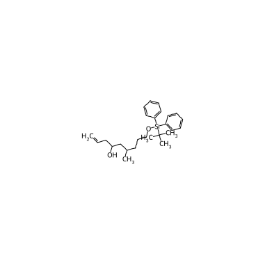 C=CCC(O)CC(C)CCCO[Si](c1ccccc1)(c1ccccc1)C(C)(C)C